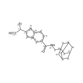 CCC(C(=O)O)c1cn2cc(C(=O)NCC34CC5CC(CC(C5)C3)C4)ccc2n1